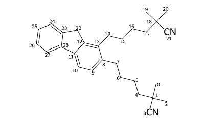 CC(C)(C#N)CCCCc1ccc2c(c1CCCCC(C)(C)C#N)Cc1ccccc1-2